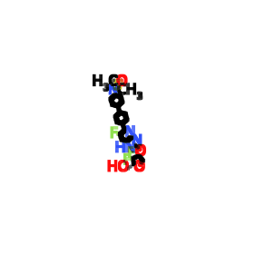 CS(C)(=O)=Nc1ccc(-c2ccc(-c3nc4nc(O[C@@H]5CO[C@H](CO)C5(F)F)[nH]c4cc3F)cc2)cc1